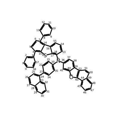 c1ccc(-c2ccc(-c3ccccc3)c3c2sc2c(N(c4ccc(-c5cccc6ccccc56)cc4)c4ccc5c(c4)oc4c6ccccc6ccc54)cccc23)cc1